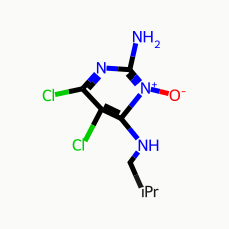 CC(C)CNc1c(Cl)c(Cl)nc(N)[n+]1[O-]